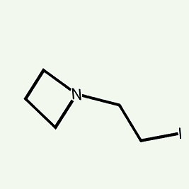 ICCN1CCC1